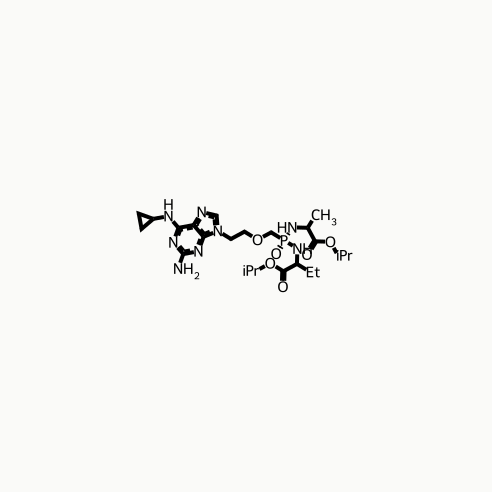 CCC(NP(=O)(COCCn1cnc2c(NC3CC3)nc(N)nc21)NC(C)C(=O)OC(C)C)C(=O)OC(C)C